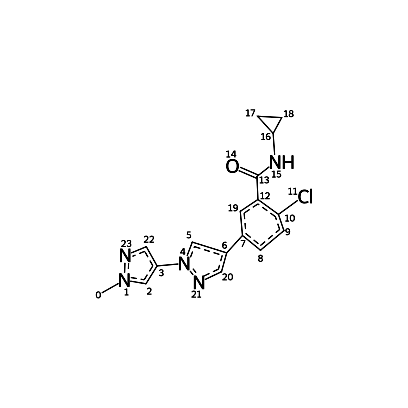 Cn1cc(-n2cc(-c3ccc(Cl)c(C(=O)NC4CC4)c3)cn2)cn1